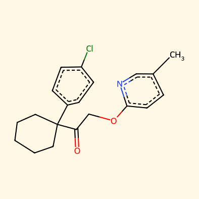 Cc1ccc(OCC(=O)C2(c3ccc(Cl)cc3)CCCCC2)nc1